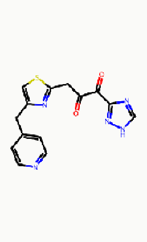 O=C(Cc1nc(Cc2ccncc2)cs1)C(=O)c1nc[nH]n1